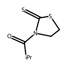 CC(C)C(=O)N1CCSC1=S